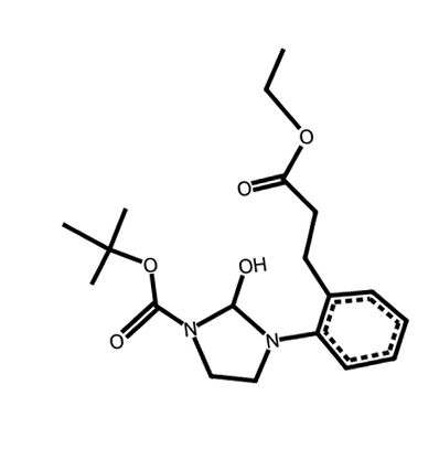 CCOC(=O)CCc1ccccc1N1CCN(C(=O)OC(C)(C)C)C1O